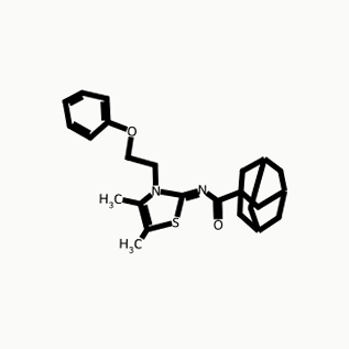 Cc1sc(=NC(=O)C23CC4CC(CC(C4)C2)C3)n(CCOc2ccccc2)c1C